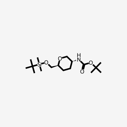 CC(C)(C)OC(=O)N[C@@H]1CC[C@@H](CO[Si](C)(C)C(C)(C)C)OC1